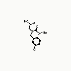 CC(C)(C)OC(=O)N(Cc1cccc(Cl)c1)CC(O)F